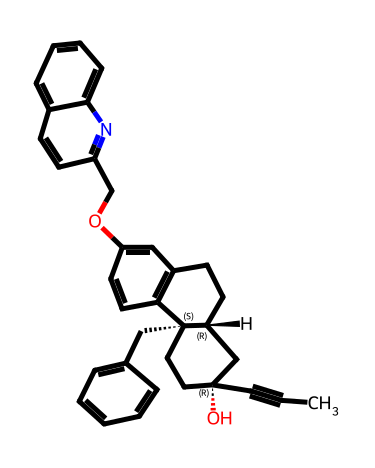 CC#C[C@@]1(O)CC[C@@]2(Cc3ccccc3)c3ccc(OCc4ccc5ccccc5n4)cc3CC[C@@H]2C1